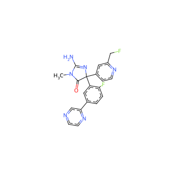 CN1C(=O)C(c2ccnc(CF)c2)(c2cc(-c3cnccn3)ccc2F)N=C1N